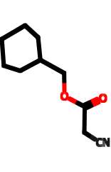 N#CCC(=O)OCC1CCCCC1